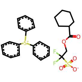 O=C(OCC(F)(F)S(=O)(=O)[O-])C1CCCCC1.c1ccc([S+](c2ccccc2)c2ccccc2)cc1